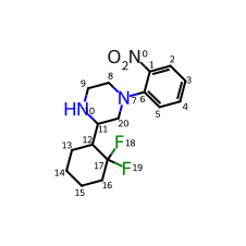 O=[N+]([O-])c1ccccc1N1CCNC(C2CCCCC2(F)F)C1